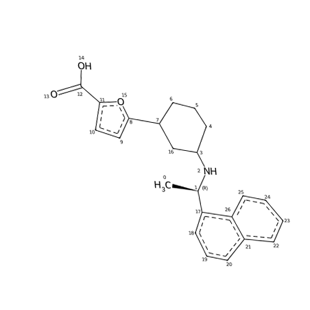 C[C@@H](NC1CCCC(c2ccc(C(=O)O)o2)C1)c1cccc2ccccc12